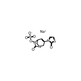 O=C1N2CC(n3ccsc3=O)=CC(C2)N1OS(=O)(=O)[O-].[Na+]